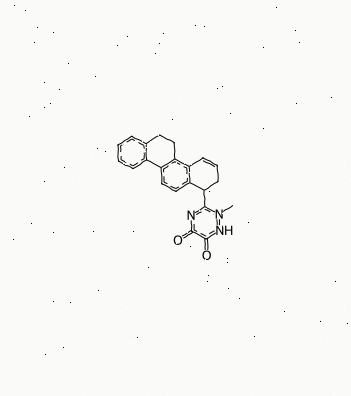 Cn1[nH]c(=O)c(=O)nc1C1CC=Cc2c1ccc1c2CCc2ccccc2-1